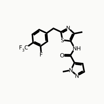 Cc1nc(Cc2ccc(C(F)(F)F)c(F)c2)sc1NC(=O)c1ccnn1C